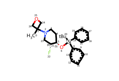 CC1(N2CC[C@H](O[Si](c3ccccc3)(c3ccccc3)C(C)(C)C)[C@H](F)C2)COC1